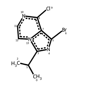 CC(C)c1nc(Br)c2c(Cl)nccn12